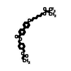 C=CC(=O)OCC1CCC(COC(=O)c2ccc(-c3ccc(OCCCCCCOC(=O)C(=C)C(F)(F)F)cc3)cc2)CC1